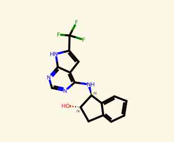 O[C@H]1Cc2ccccc2[C@@H]1Nc1ncnc2[nH]c(C(F)(F)F)cc12